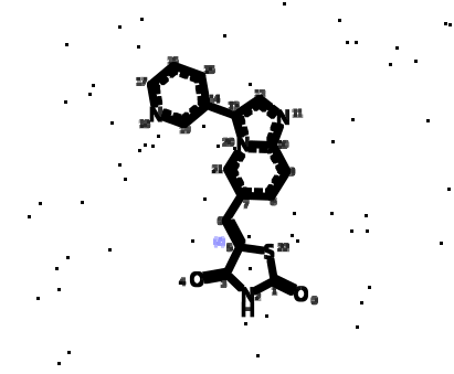 O=C1NC(=O)/C(=C/c2ccc3ncc(-c4cccnc4)n3c2)S1